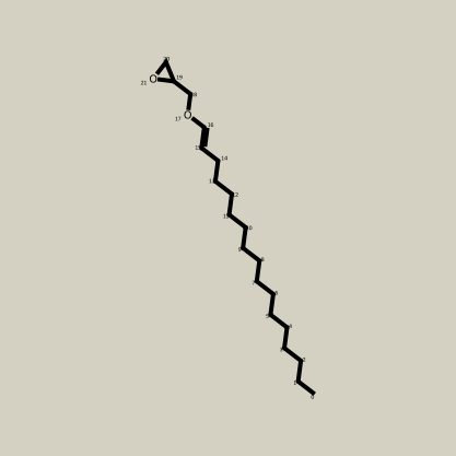 CCCCCCCCCCCCCCCC=COCC1CO1